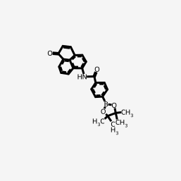 CC1(C)OB(c2ccc(C(=O)Nc3ccc4c5c(cccc35)C(=O)C=C4)cc2)OC1(C)C